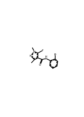 [B]c1ccccc1NC(=O)c1c(C)nn(C)c1F